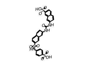 O=C(Nc1ccc2ccc(S(=O)(=O)O)cc2c1)Nc1ccc2ccc(S(=O)(=O)Nc3ccc(S(=O)(=O)O)cc3)cc2c1